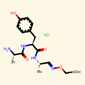 CCCCCCCCCCCO/N=C/[C@@H](NC(=O)[C@H](Cc1ccc(O)cc1)NC(=O)[C@@H](N)C(C)C)[C@@H](C)CC.Cl